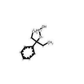 CCC(CC)(OPO)c1ccccc1